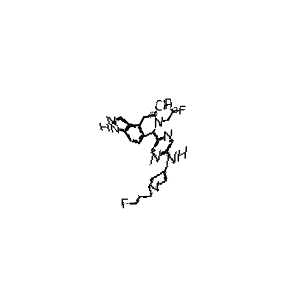 C[C@@H]1Cc2c(ccc3[nH]ncc23)C(c2cnc(NC3CN(CCCF)C3)cn2)N1CC(F)F